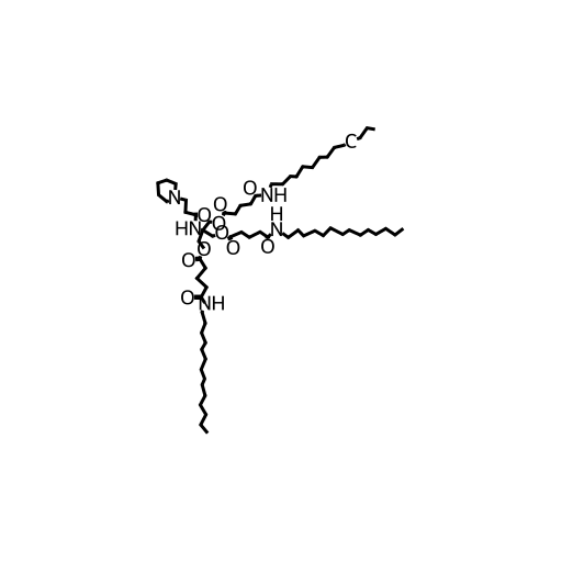 CCCCCCCCCCCCCCNC(=O)CCCC(=O)OCC(COC(=O)CCCC(=O)NCCCCCCCCCCCCCC)(COC(=O)CCCC(=O)NCCCCCCCCCCCCCC)NC(=O)CCN1CCCCC1